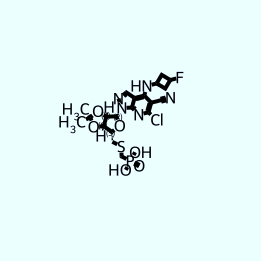 CC1(C)O[C@@H]2[C@H](O1)[C@@H](CSCP(=O)(O)O)O[C@H]2n1ncc2c(NC3CC(F)C3)c(C#N)c(Cl)nc21